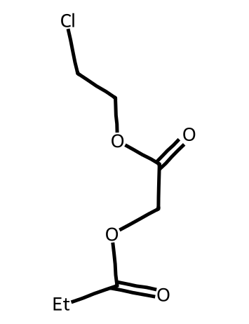 [CH2]CC(=O)OCC(=O)OCCCl